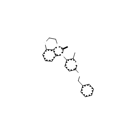 Cc1nc(OCc2ccccc2)ccc1-n1c(=O)n2c3c(cccc31)NCC2